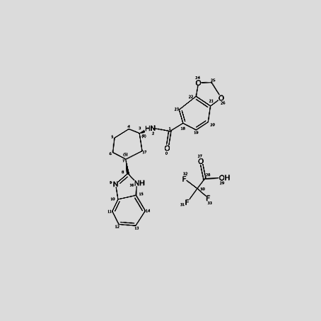 O=C(N[C@@H]1CCC[C@H](c2nc3ccccc3[nH]2)C1)c1ccc2c(c1)OCO2.O=C(O)C(F)(F)F